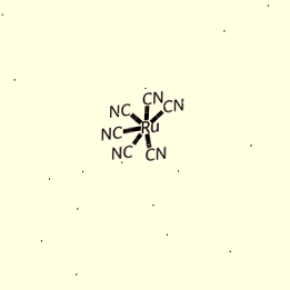 N#[C][Ru]([C]#N)([C]#N)([C]#N)([C]#N)[C]#N